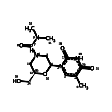 Cc1cn(C2CN([PH](=O)N(C)C)C[C@@H](CO)O2)c(=O)[nH]c1=O